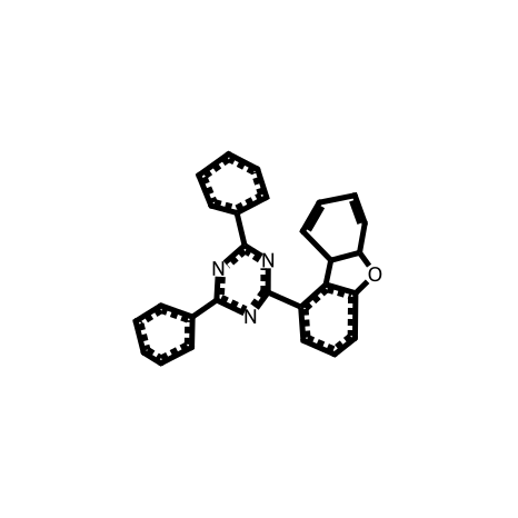 C1=CC2Oc3cccc(-c4nc(-c5ccccc5)nc(-c5ccccc5)n4)c3C2C=C1